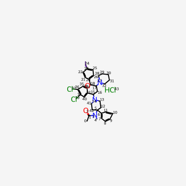 CC(=O)N(C)C1(c2ccccc2)CCN(C(CC(C(=O)c2ccc(I)cc2)N2CCCCC2)c2ccc(Cl)c(Cl)c2)CC1.Cl